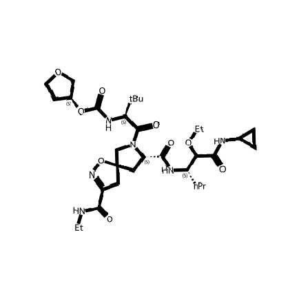 CCC[C@H](NC(=O)[C@@H]1CC2(CC(C(=O)NCC)=NO2)CN1C(=O)[C@@H](NC(=O)O[C@H]1CCOC1)C(C)(C)C)C(OCC)C(=O)NC1CC1